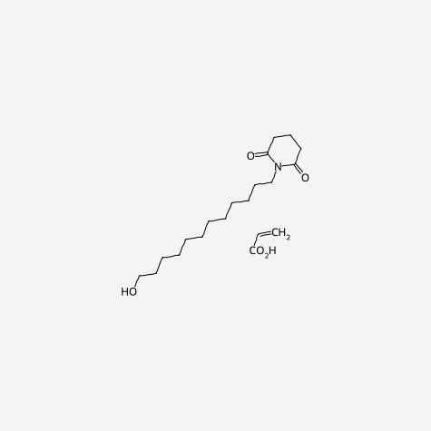 C=CC(=O)O.O=C1CCCC(=O)N1CCCCCCCCCCCCO